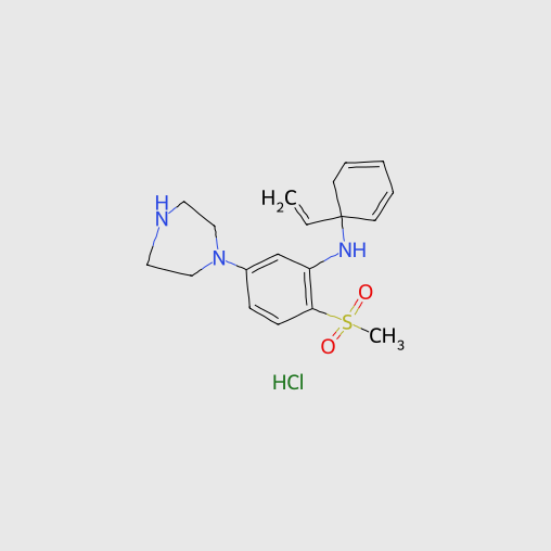 C=CC1(Nc2cc(N3CCNCC3)ccc2S(C)(=O)=O)C=CC=CC1.Cl